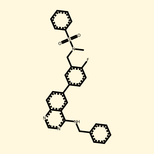 CN(Cc1cc(-c2ccc3ncnc(NCc4ccccc4)c3c2)ccc1F)S(=O)(=O)c1ccccc1